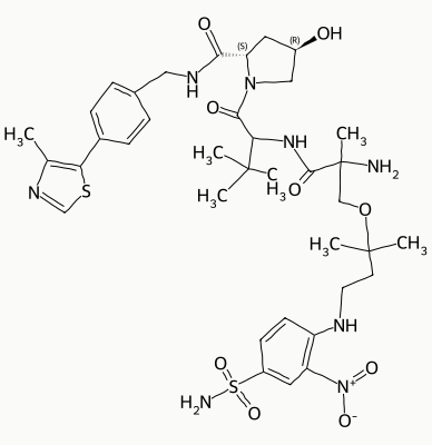 Cc1ncsc1-c1ccc(CNC(=O)[C@@H]2C[C@@H](O)CN2C(=O)C(NC(=O)C(C)(N)COC(C)(C)CCNc2ccc(S(N)(=O)=O)cc2[N+](=O)[O-])C(C)(C)C)cc1